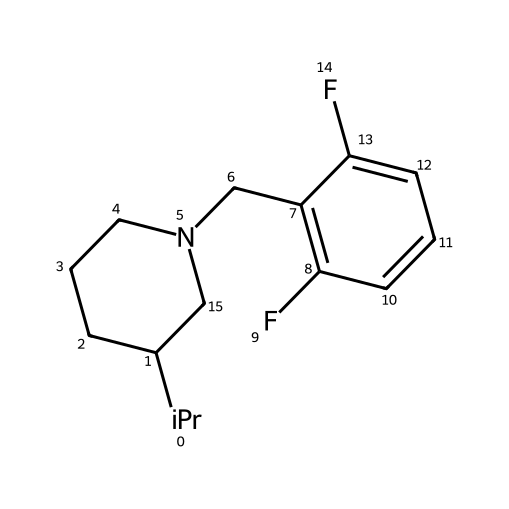 CC(C)C1CCCN(Cc2c(F)cccc2F)C1